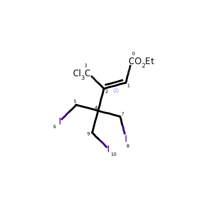 CCOC(=O)/C=C(\C(Cl)(Cl)Cl)C(CI)(CI)CI